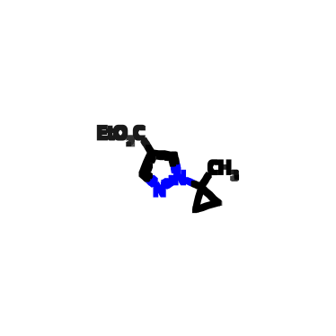 CCOC(=O)c1cnn(C2(C)CC2)c1